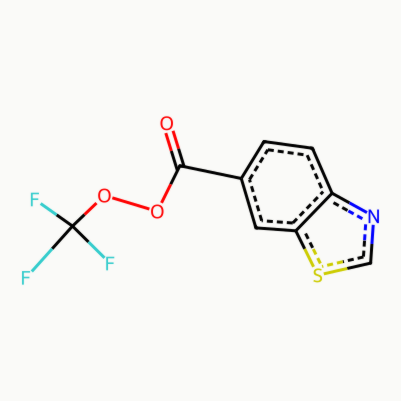 O=C(OOC(F)(F)F)c1ccc2ncsc2c1